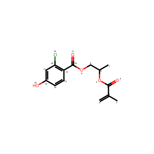 C=C(C)C(=O)OC(C)COC(=O)c1ccc(O)cc1Cl